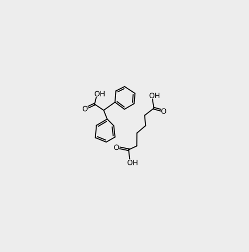 O=C(O)C(c1ccccc1)c1ccccc1.O=C(O)CCCCC(=O)O